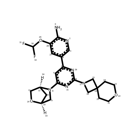 Nc1ncc(-c2cc(N3C[C@@H]4C[C@H]3CO4)nc(N3CC4(CCOCC4)C3)n2)cc1OC(F)F